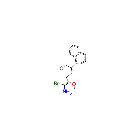 CO/C(CCC(C=O)c1cccc2ccccc12)=C(\N)Br